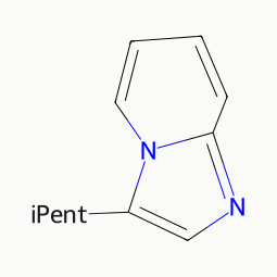 CCCC(C)c1cnc2ccccn12